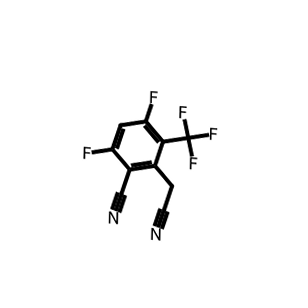 N#CCc1c(C#N)c(F)cc(F)c1C(F)(F)F